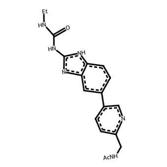 CCNC(=O)Nc1nc2cc(-c3ccc(CNC(C)=O)nc3)ccc2[nH]1